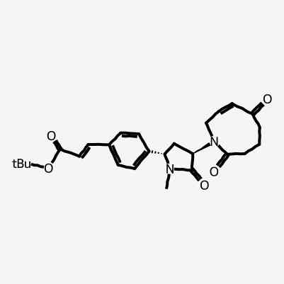 CN1C(=O)[C@H](N2C/C=C\C(=O)CCCC2=O)C[C@H]1c1ccc(/C=C/C(=O)OC(C)(C)C)cc1